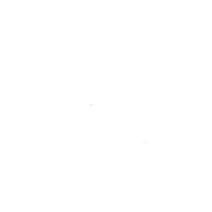 C=CC(=O)Oc1ccccc1/C=C/c1ccc(/C=C/c2ccc(OC(=O)C(=C)C)cc2)cc1F